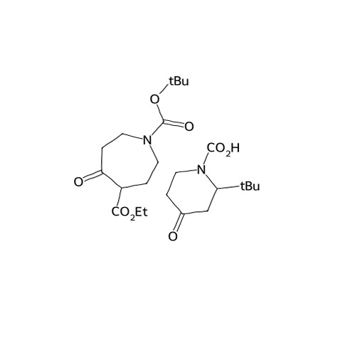 CC(C)(C)C1CC(=O)CCN1C(=O)O.CCOC(=O)C1CCN(C(=O)OC(C)(C)C)CCC1=O